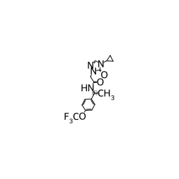 C[C@H](NC(=O)Cn1ncn(C2CC2)c1=O)c1ccc(OC(F)(F)F)cc1